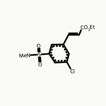 CCOC(=O)C=Cc1cc(Cl)cc(S(=O)(=O)NC)c1